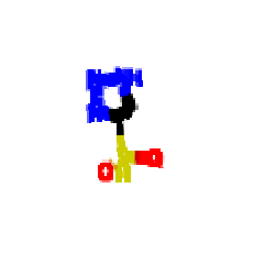 O=[SH](=O)c1c[nH]nn1